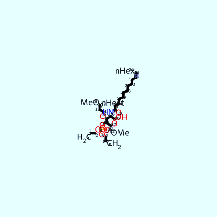 C=CCOP(=O)(OCC=C)O[C@H]1[C@H](OCC[C@@H](CCCCCCC)OC)[C@@H](NC(=O)CCCCCCCCC/C=C\CCCCCC)C(O)O[C@@H]1COC